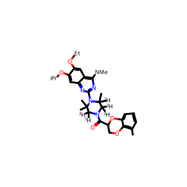 [2H]C1([2H])N(C(=O)C2COc3c(C)cccc3O2)C([2H])([2H])C(C)(C)N(c2nc(NC)c3cc(OCC)c(OC(C)C)cc3n2)C1([2H])C